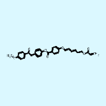 C=CC(=O)OCCCCCCOc1ccc(C(=O)Oc2ccc(CC(=O)c3ccc(OC)cc3)cc2)cc1